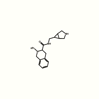 CCCN1Cc2ccccc2CC1C(=O)NCC1C2CNCC21